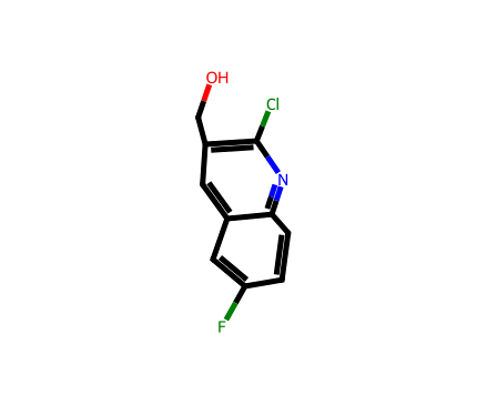 OCc1cc2cc(F)ccc2nc1Cl